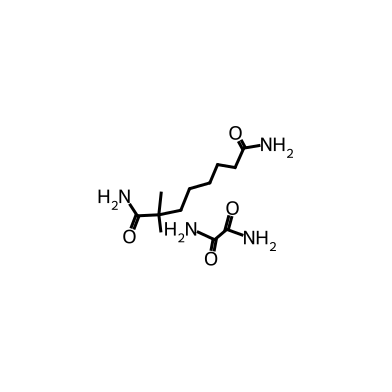 CC(C)(CCCCCC(N)=O)C(N)=O.NC(=O)C(N)=O